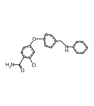 NC(=O)c1ccc(Oc2ccc(CNc3ccccc3)cc2)cc1Cl